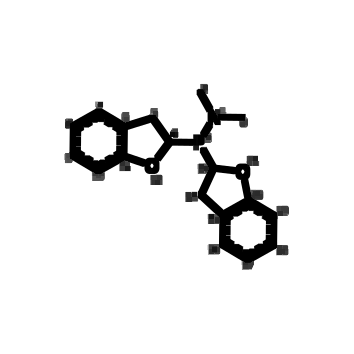 CN(C)P(C1Cc2ccccc2O1)C1Cc2ccccc2O1